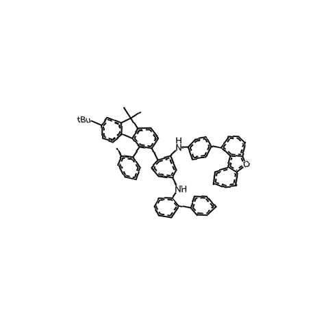 Cc1ccccc1-c1c(-c2ccc(Nc3ccccc3-c3ccccc3)cc2Nc2ccc(-c3cccc4oc5ccccc5c34)cc2)ccc2c1-c1ccc(C(C)(C)C)cc1C2(C)C